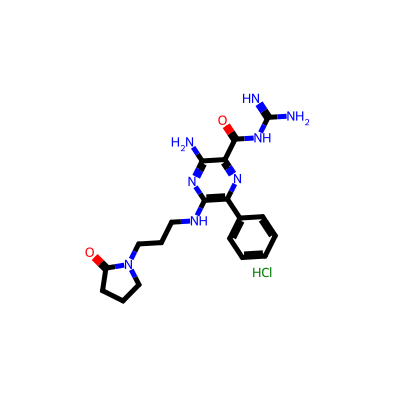 Cl.N=C(N)NC(=O)c1nc(-c2ccccc2)c(NCCCN2CCCC2=O)nc1N